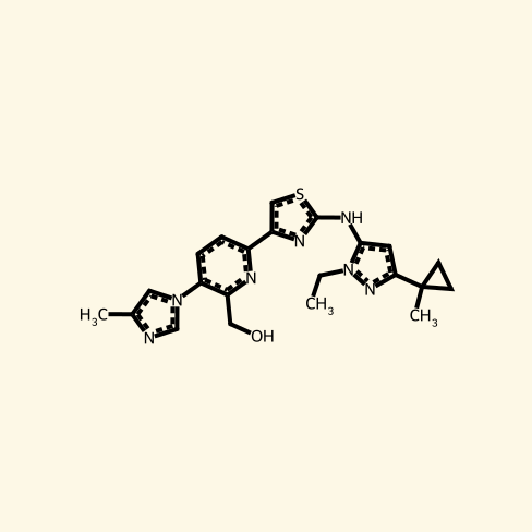 CCn1nc(C2(C)CC2)cc1Nc1nc(-c2ccc(-n3cnc(C)c3)c(CO)n2)cs1